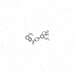 Cc1cc(N2CCN(C(=O)c3cn4c(C)cccc4n3)CC2)cc2c1NC(=O)CC2